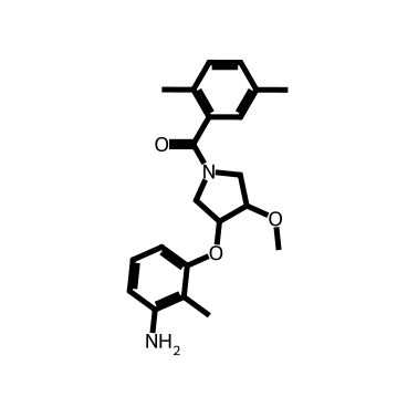 COC1CN(C(=O)c2cc(C)ccc2C)CC1Oc1cccc(N)c1C